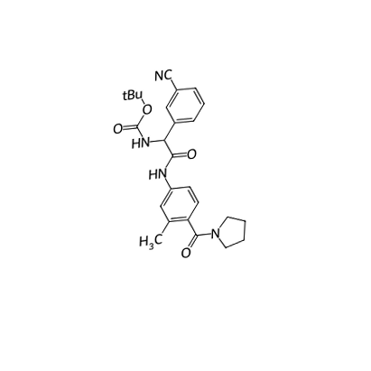 Cc1cc(NC(=O)C(NC(=O)OC(C)(C)C)c2cccc(C#N)c2)ccc1C(=O)N1CCCC1